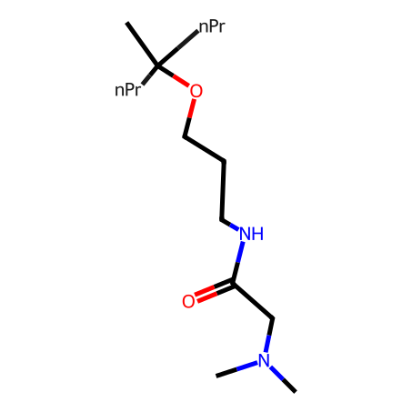 CCCC(C)(CCC)OCCCNC(=O)CN(C)C